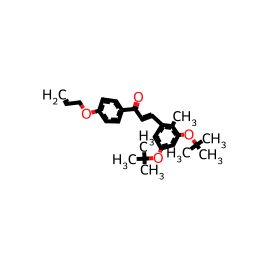 C=CCOc1ccc(C(=O)/C=C/c2cc(OC(C)(C)C)cc(OC(C)(C)C)c2C)cc1